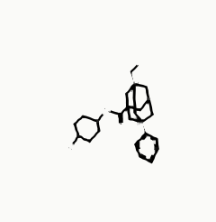 NC1CCC(NC(=O)C23CC4C[C@@](CF)(C2)C[C@](c2ccccc2)(C4)C3)CC1